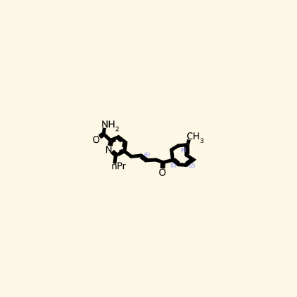 CCCc1nc(C(N)=O)ccc1C/C=C/CC(=O)/C1=C/C=C\C=C(/C)CC1